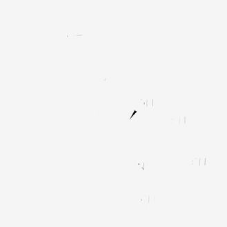 CC(C)N(C)C[C@H](O)c1cccc(O)c1